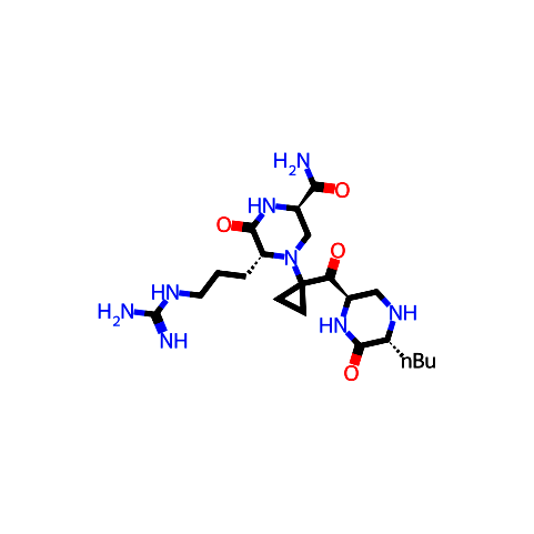 CCCC[C@H]1NC[C@H](C(=O)C2(N3C[C@H](C(N)=O)NC(=O)[C@H]3CCCNC(=N)N)CC2)NC1=O